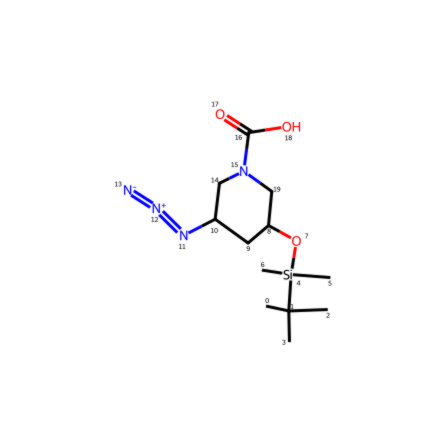 CC(C)(C)[Si](C)(C)OC1CC(N=[N+]=[N-])CN(C(=O)O)C1